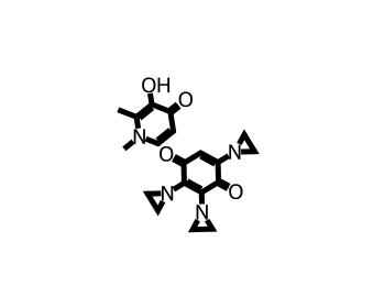 Cc1c(O)c(=O)ccn1C.O=C1C=C(N2CC2)C(=O)C(N2CC2)=C1N1CC1